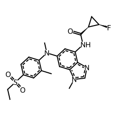 CCS(=O)(=O)c1ccc(N(C)c2cc(NC(=O)[C@H]3C[C@H]3F)c3ncn(C)c3c2)c(C)c1